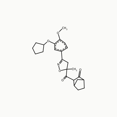 COc1ccc(C2=NOC(C)(C(=O)C3C(=O)C4CCC3C4)C2)cc1OC1CCCC1